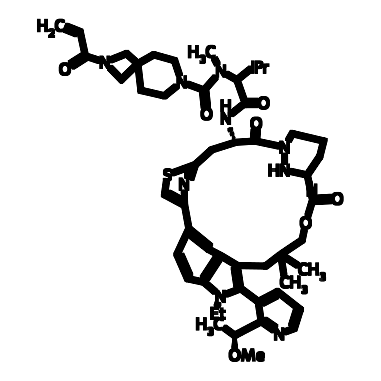 C=CC(=O)N1CC2(CCN(C(=O)N(C)C(C(=O)N[C@H]3Cc4nc(cs4)-c4ccc5c(c4)c(c(-c4cccnc4[C@H](C)OC)n5CC)CC(C)(C)COC(=O)[C@@H]4CCCN(N4)C3=O)C(C)C)CC2)C1